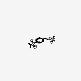 CC(C)S(=O)(=O)c1ccc(CCOS(C)(=O)=O)cc1